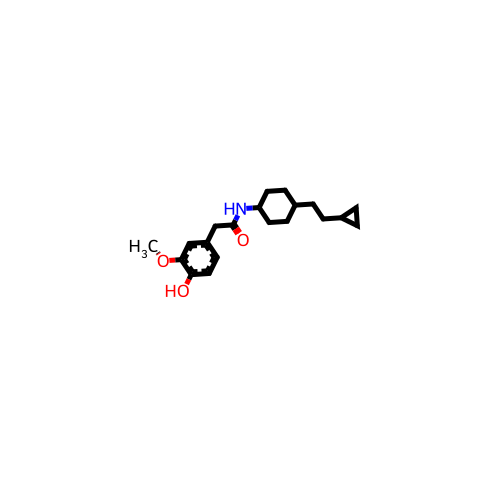 COc1cc(CC(=O)NC2CCC(CCC3CC3)CC2)ccc1O